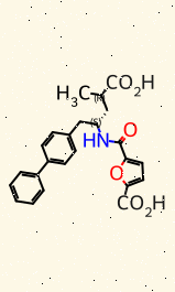 C[C@H](C[C@@H](Cc1ccc(-c2ccccc2)cc1)NC(=O)c1ccc(C(=O)O)o1)C(=O)O